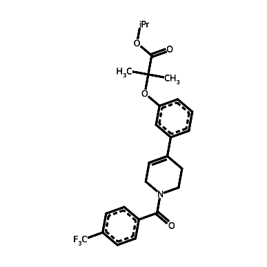 CC(C)OC(=O)C(C)(C)Oc1cccc(C2=CCN(C(=O)c3ccc(C(F)(F)F)cc3)CC2)c1